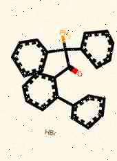 Br.O=C(c1ccccc1-c1ccccc1)C(P)(c1ccccc1)c1ccccc1